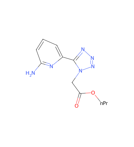 CCCOC(=O)Cn1nnnc1-c1cccc(N)n1